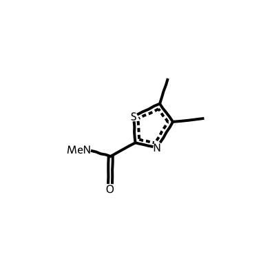 CNC(=O)c1nc(C)c(C)s1